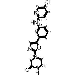 O=C1CN(c2ncc(-c3cccc(Nc4ccc(Cl)cn4)n3)o2)CCN1